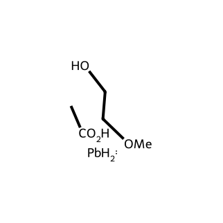 CC(=O)O.COCCO.[PbH2]